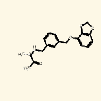 C[C@H](NCc1cccc(COc2cccc3c2OCO3)c1)C(N)=O